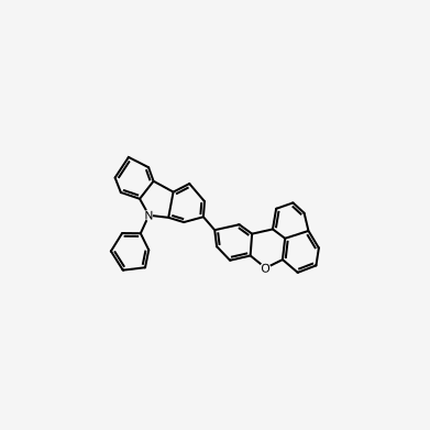 c1ccc(-n2c3ccccc3c3ccc(-c4ccc5c(c4)-c4cccc6cccc(c46)O5)cc32)cc1